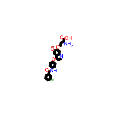 COc1cc2c(Oc3ccc(NC(=O)c4cccc(F)c4)cc3)ccnc2cc1OCCC(N)C(=O)O